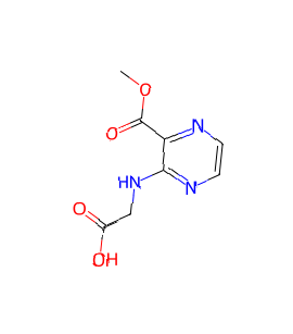 COC(=O)c1nccnc1NCC(=O)O